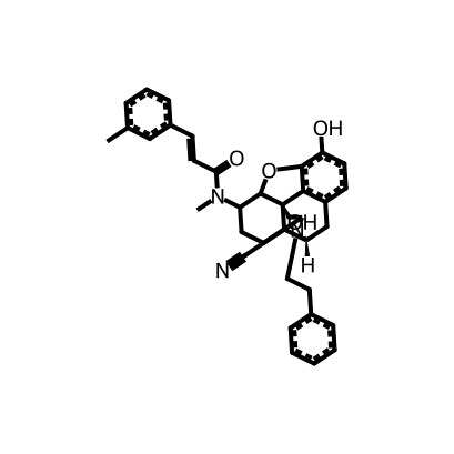 Cc1cccc(/C=C/C(=O)N(C)C2CC[C@@]3(O)[C@H]4Cc5ccc(O)c6c5[C@@]3(CC(C#N)N4CCc3ccccc3)C2O6)c1